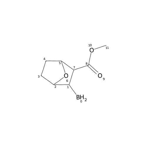 BC1C2CCC(O2)C1C(=O)OC